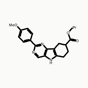 COc1ccc(-c2ncc3[nH]c4c(c3n2)CC(C(=O)OC(C)C)CC4)cc1